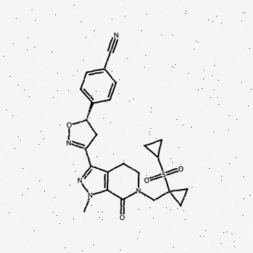 Cn1nc(C2=NO[C@@H](c3ccc(C#N)cc3)C2)c2c1C(=O)N(CC1(S(=O)(=O)C3CC3)CC1)CC2